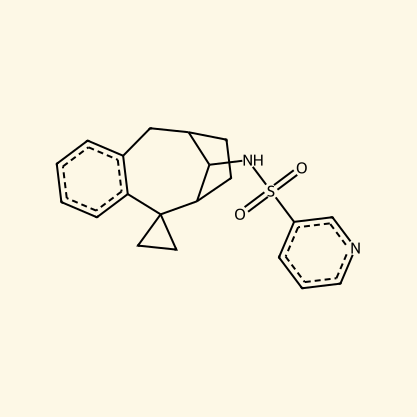 O=S(=O)(NC1C2CCC1C1(CC1)c1ccccc1C2)c1cccnc1